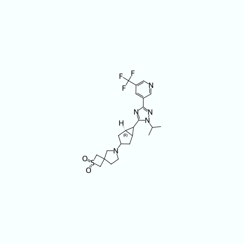 CC(C)n1nc(-c2cncc(C(F)(F)F)c2)nc1C1C2CC(N3CCC4(C3)CS(=O)(=O)C4)C[C@H]21